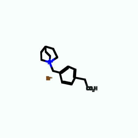 O=C(O)Cc1ccc(C[N+]23CCC(CC2)CC3)cc1.[Br-]